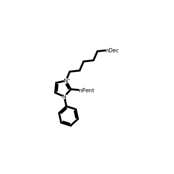 CCCCCCCCCCCCCCC[n+]1ccn(-c2ccccc2)c1CCCCC